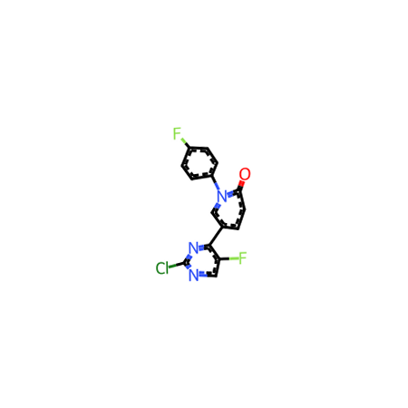 O=c1ccc(-c2nc(Cl)ncc2F)cn1-c1ccc(F)cc1